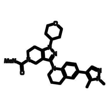 CNC(=O)N1CCc2c(c(N3CCCc4cc(-c5cnn(C)c5C)ccc43)nn2C2CCOCC2)C1